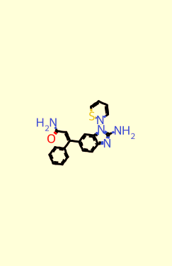 NC(=O)C=C(c1ccccc1)c1ccc2nc(N)n(N3C=CC=CS3)c2c1